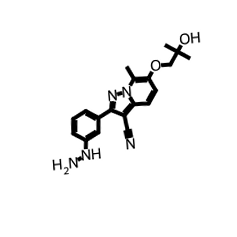 Cc1c(OCC(C)(C)O)ccc2c(C#N)c(-c3cccc(NN)c3)nn12